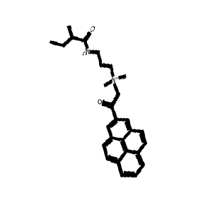 CCC(C)C(=O)NCCC[N+](C)(C)CC(=O)c1cc2ccc3cccc4ccc(c1)c2c34